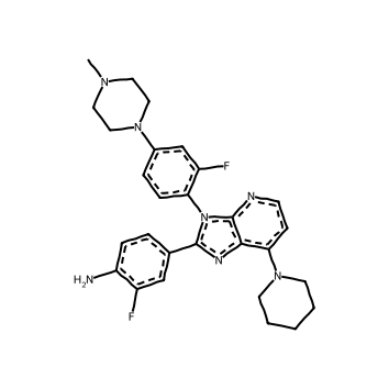 CN1CCN(c2ccc(-n3c(-c4ccc(N)c(F)c4)nc4c(N5CCCCC5)ccnc43)c(F)c2)CC1